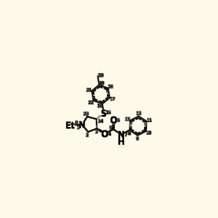 CCN1C[C@H](OC(=O)Nc2ccccc2)[C@@H](Sc2ccc(C)cc2)C1